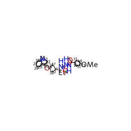 CCC(NC(=O)NNC(=O)c1ccc(OC)cc1)[C@H]1CC[C@H](Oc2ccnc3ccccc23)CC1